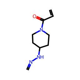 C=CC(=O)N1CCC(NN=C)CC1